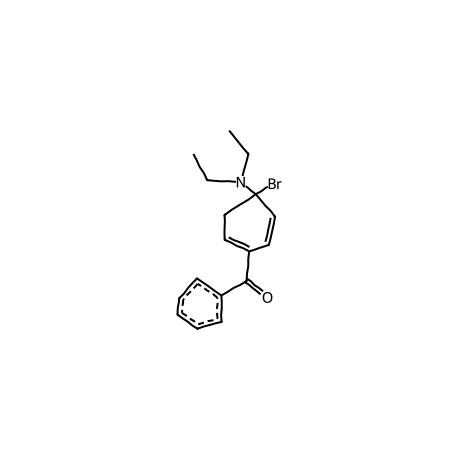 CCN(CC)C1(Br)C=CC(C(=O)c2ccccc2)=CC1